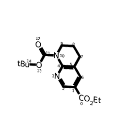 CCOC(=O)c1cnc2c(c1)CCCN2C(=O)OC(C)(C)C